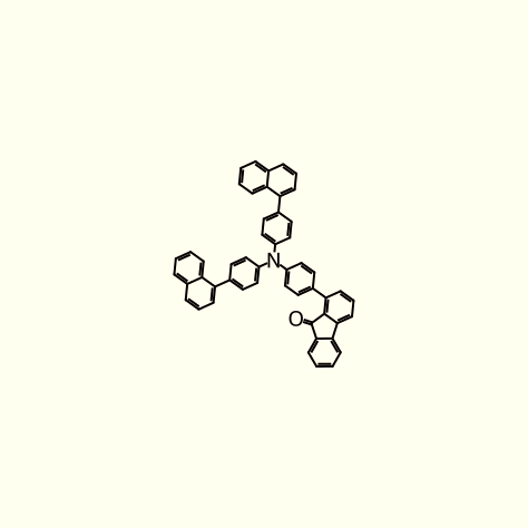 O=C1c2ccccc2-c2cccc(-c3ccc(N(c4ccc(-c5cccc6ccccc56)cc4)c4ccc(-c5cccc6ccccc56)cc4)cc3)c21